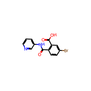 O=C(O)c1cc(Br)ccc1C(=O)Nc1cccnc1